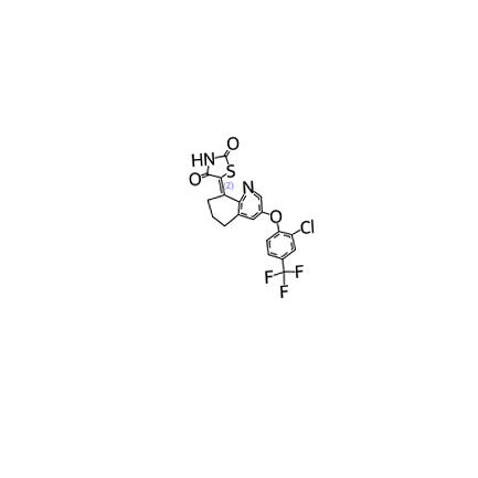 O=C1NC(=O)/C(=C2\CCCc3cc(Oc4ccc(C(F)(F)F)cc4Cl)cnc32)S1